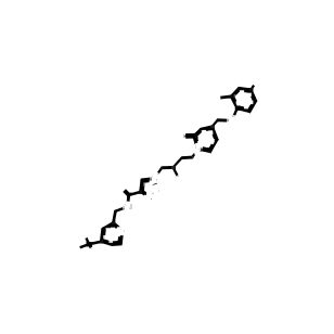 O=C(NCc1cc(C(F)(F)F)ccn1)c1cn(CC(F)CCn2ccc(COc3ccc(F)cc3F)cc2=O)nn1